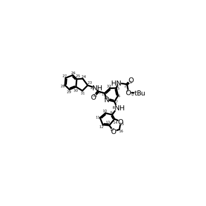 CC(C)(C)OC(=O)Nc1cc(Nc2cccc3c2OCO3)nc(C(=O)NC2Cc3ccccc3C2)c1